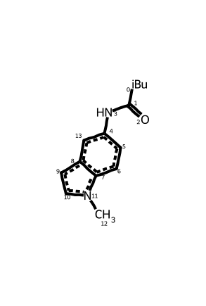 CCC(C)C(=O)Nc1ccc2c(ccn2C)c1